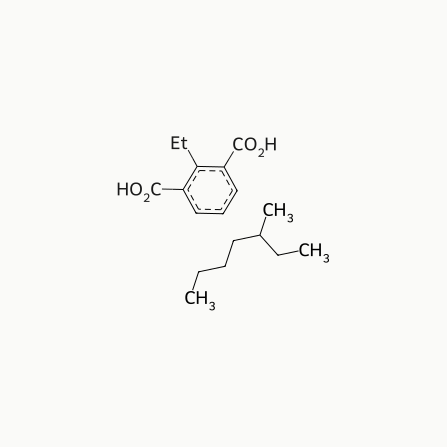 CCCCC(C)CC.CCc1c(C(=O)O)cccc1C(=O)O